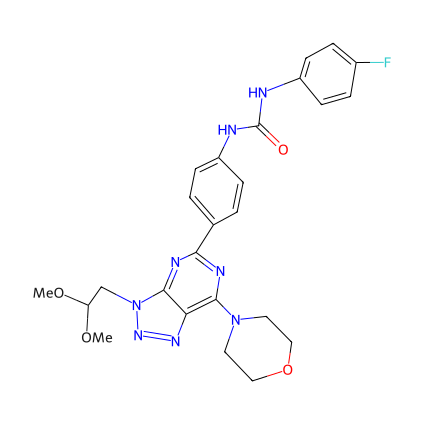 COC(Cn1nnc2c(N3CCOCC3)nc(-c3ccc(NC(=O)Nc4ccc(F)cc4)cc3)nc21)OC